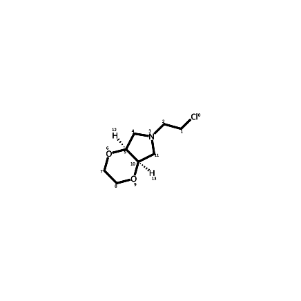 ClCCN1C[C@@H]2OCCO[C@@H]2C1